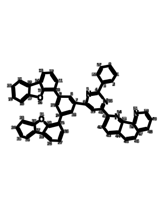 c1ccc(-c2nc(-c3cc(-c4cccc5c4oc4ccccc45)cc(-c4cccc5c4oc4ccccc45)c3)cc(-c3ccc4ccc5cccnc5c4n3)n2)cc1